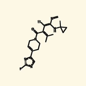 C=N/C(NC1(C)CC1)=C(\CC)C(C(=O)N1CC=C(c2cnc(F)s2)CC1)=C(C)C